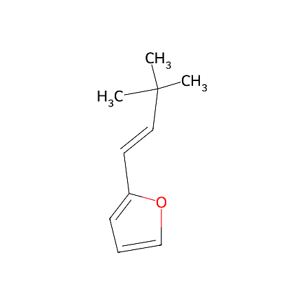 CC(C)(C)/C=C/c1ccco1